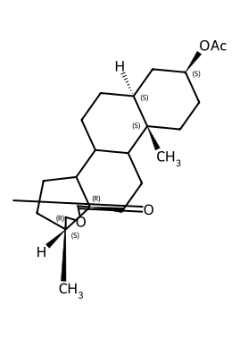 CC(=O)O[C@H]1CC[C@]2(C)C3CC[C@]45C(=O)O[C@H](C)[C@H]4CCC5C3CC[C@H]2C1